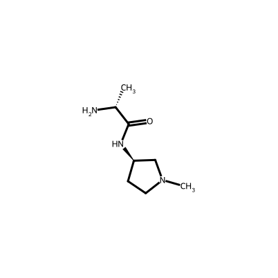 C[C@@H](N)C(=O)N[C@@H]1CCN(C)C1